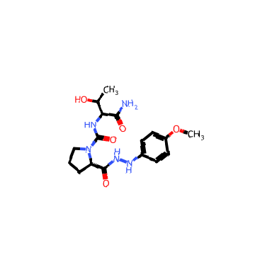 COc1ccc(NNC(=O)C2CCCN2C(=O)NC(C(N)=O)C(C)O)cc1